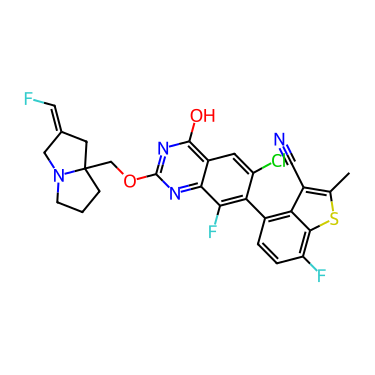 Cc1sc2c(F)ccc(-c3c(Cl)cc4c(O)nc(OCC56CCCN5C/C(=C\F)C6)nc4c3F)c2c1C#N